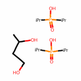 CC(C)P(=O)(O)C(C)C.CC(C)P(=O)(O)C(C)C.CC(O)CCO